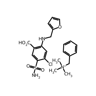 C[N+](C)(C)Cc1ccccc1.NS(=O)(=O)c1cc(C(=O)O)c(NCc2ccco2)cc1Cl